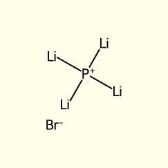 [Br-].[Li][P+]([Li])([Li])[Li]